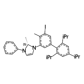 Cc1c(I)cc(-c2c(C(C)C)cc(C(C)C)cc2C(C)C)cc1N1C=CN(c2ccccc2)[C@@H]1C